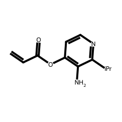 C=CC(=O)Oc1ccnc(C(C)C)c1N